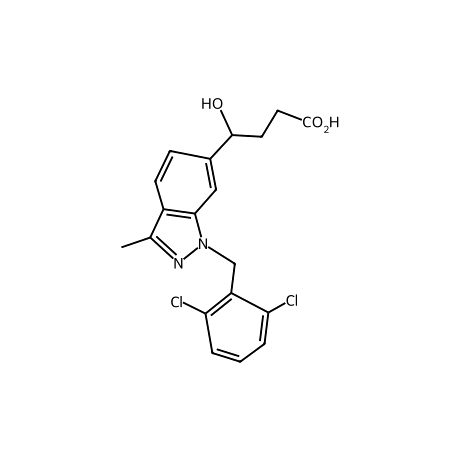 Cc1nn(Cc2c(Cl)cccc2Cl)c2cc(C(O)CCC(=O)O)ccc12